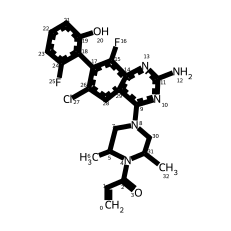 C=CC(=O)N1C(C)CN(c2nc(N)nc3c(F)c(-c4c(O)cccc4F)c(Cl)cc23)CC1C